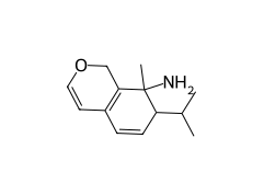 CC(C)C1C=CC2=C(COC=C2)C1(C)N